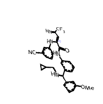 COc1cccc(C(NCC2CC2)c2cccc(NC(=O)/C(=C/C(=N)C(F)(F)F)Nc3cccc(C#N)c3)c2)c1